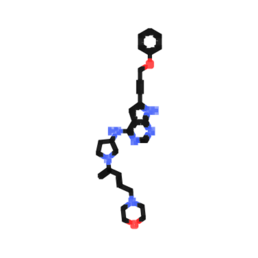 C=C(/C=C/CN1CCOCC1)N1CCC(Nc2ncnc3[nH]c(C#CCOc4ccccc4)cc23)C1